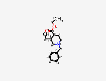 CCOC(=O)C1CCN(Cc2ccccc2)CC1CC